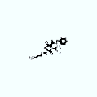 CCCCOC[C@@H]1NC(=O)C(C(=O)NCc2ccccc2)N(C(C)C)C1=O